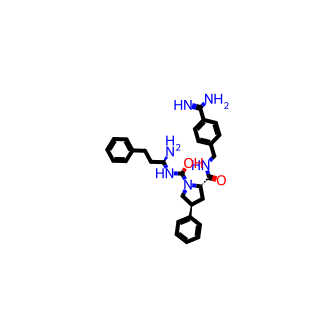 N=C(N)c1ccc(CNC(=O)[C@@H]2C[C@@H](c3ccccc3)CN2C(O)N[C@H](N)CCc2ccccc2)cc1